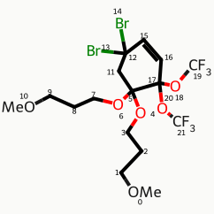 COCCCOC1(OCCCOC)CC(Br)(Br)C=CC1(OC(F)(F)F)OC(F)(F)F